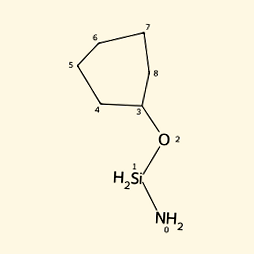 N[SiH2]OC1CCCCC1